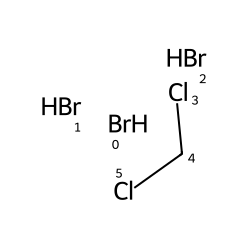 Br.Br.Br.ClCCl